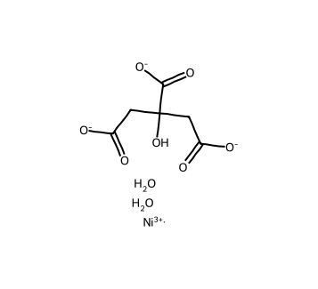 O.O.O=C([O-])CC(O)(CC(=O)[O-])C(=O)[O-].[Ni+3]